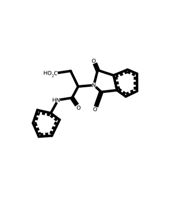 O=C(O)CC(C(=O)Nc1ccccc1)N1C(=O)c2ccccc2C1=O